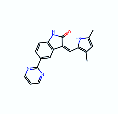 Cc1cc(C)c(/C=C2\C(=O)Nc3ccc(-c4ncccn4)cc32)[nH]1